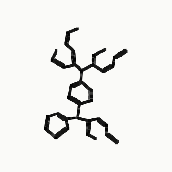 C=C/C=C\C(=C/C)C(C(/C=C\C)=C/C=C\C)c1ccc(C(C(/C=C\C=C)=C/C)c2ccccc2)cc1